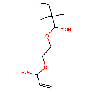 C=CC(O)OCCOC(O)C(C)(C)CC